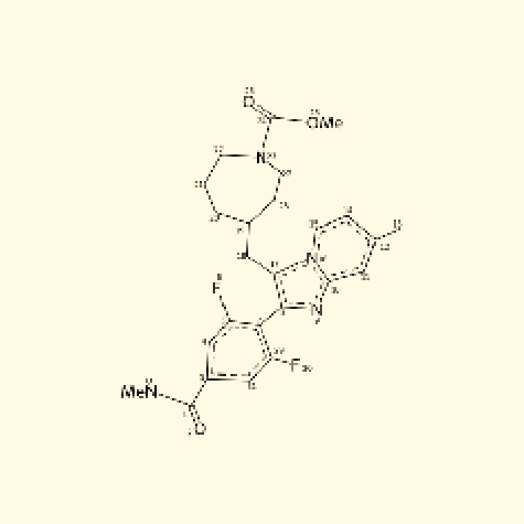 CNC(=O)c1cc(F)c(-c2nc3cc(C)ccn3c2CC2CCCN(C(=O)OC)CC2)c(F)c1